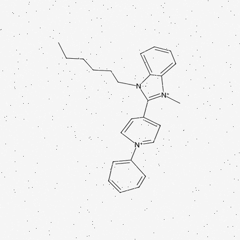 CCCCCCn1c(-c2cc[n+](-c3ccccc3)cc2)[n+](C)c2ccccc21